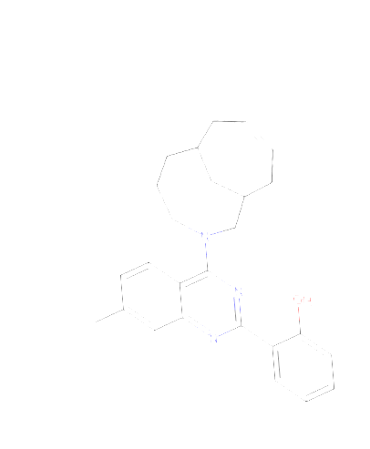 Cc1ccc2c(N3CCCC4CC=CCC(C4)C3)nc(-c3ccccc3O)nc2c1